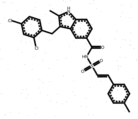 Cc1ccc(C=CS(=O)(=O)NC(=O)c2ccc3[nH]c(C)c(Cc4ccc(Cl)cc4Cl)c3c2)cc1